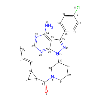 N#CC=CC1CC1C(=O)N1CCCC(n2nc(-c3ccc(Cl)cc3)c3c(N)ncnc32)C1